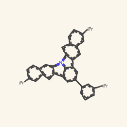 CC(C)c1cccc(-c2cc3c4cc5cc(C(C)C)ccc5cc4n4c5cc6ccc(C(C)C)cc6cc5c(c2)c34)c1